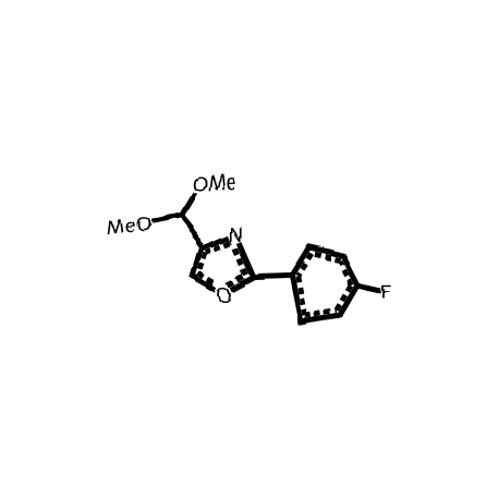 COC(OC)c1coc(-c2ccc(F)cc2)n1